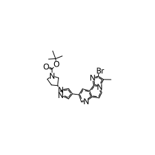 Cc1c(Br)nc2c3cc(-c4cnn([C@H]5CCN(C(=O)OC(C)(C)C)C5)c4)cnc3ccn12